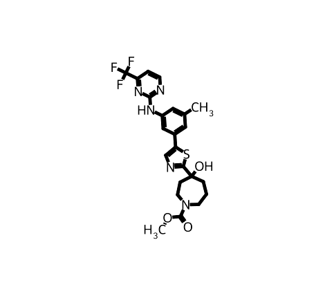 COC(=O)N1CCCC(O)(c2ncc(-c3cc(C)cc(Nc4nccc(C(F)(F)F)n4)c3)s2)CC1